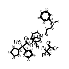 CN(CCC[N+]12CCC(CC1)[C@@H](OC(=O)[C@](O)(c1cccs1)C1CCCC1)C2)c1ccccc1.O=C([O-])C(F)(F)F